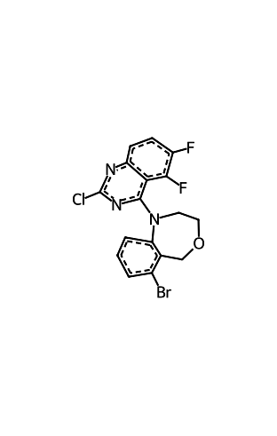 Fc1ccc2nc(Cl)nc(N3CCOCc4c(Br)cccc43)c2c1F